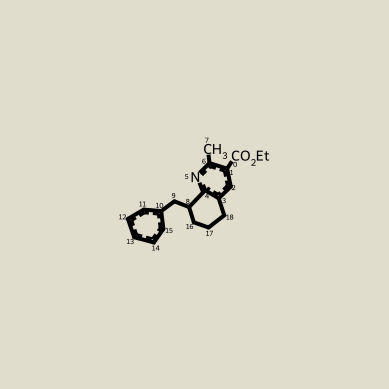 CCOC(=O)c1cc2c(nc1C)C(Cc1ccccc1)CCC2